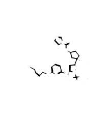 CC(C)(C)n1nc([C@@]2(C)CCC(OC(=O)n3ccnc3)C2)cc1Nc1cccc(OC/C=C\CN)n1